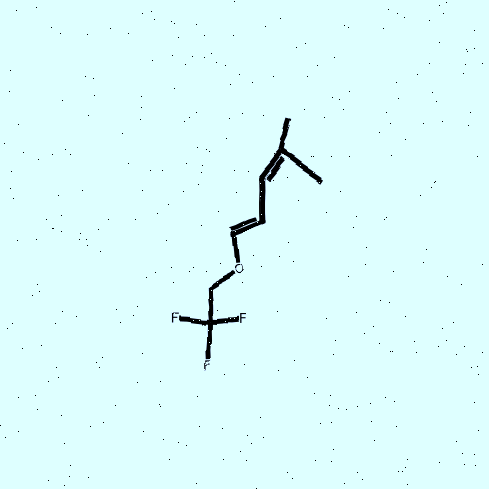 CC(C)=C/C=C/OCC(F)(F)F